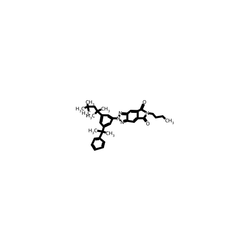 CCCCN1C(=O)c2cc3nn(-c4cc(C(C)(C)CC(C)(C)C)cc(C(C)(C)c5ccccc5)c4)nc3cc2C1=O